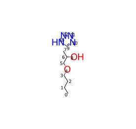 CCCCOCC(C)O.c1nnn[nH]1